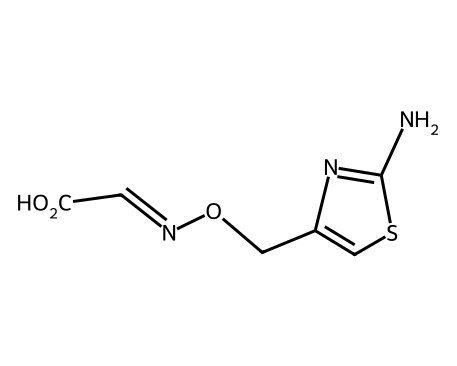 Nc1nc(CON=CC(=O)O)cs1